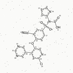 N#Cc1cc(S(=O)(=O)N(C(=O)O)c2cscn2)ccc1Oc1cnc(Cl)cc1-c1cncnc1